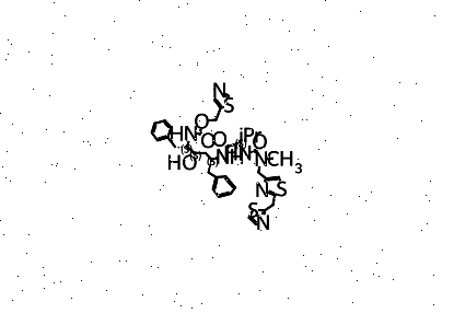 CC(C)[C@H](NC(=O)N(C)Cc1csc(Cc2nccs2)n1)C(=O)N[C@@H](Cc1ccccc1)C[C@H](O)[C@H](Cc1ccccc1)NC(=O)OCc1cncs1